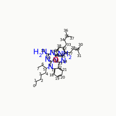 CCCCCC(CC)N(c1nc(N)nc(N)n1)c1ccccc1-c1nc2c(CCC(C)C)c(CCC(C)C)ccc2o1